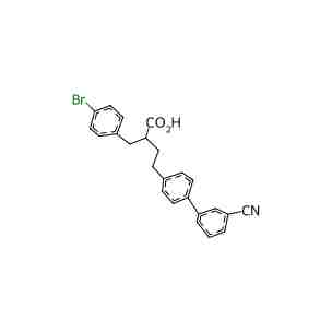 N#Cc1cccc(-c2ccc(CCC(Cc3ccc(Br)cc3)C(=O)O)cc2)c1